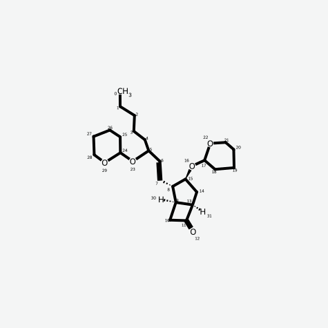 CCCCCC(/C=C/[C@H]1[C@@H]2CC(=O)[C@@H]2C[C@@H]1OC1CCCCO1)OC1CCCCO1